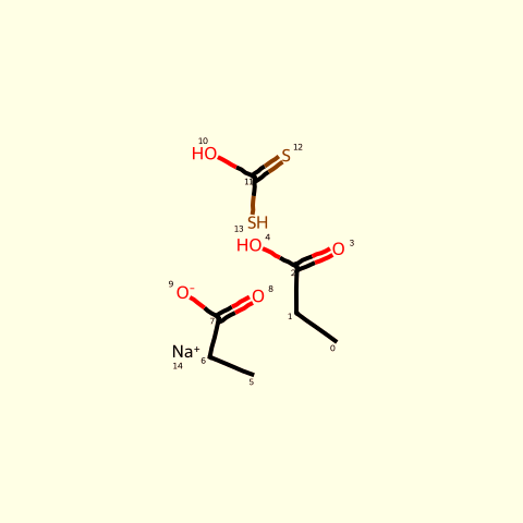 CCC(=O)O.CCC(=O)[O-].OC(=S)S.[Na+]